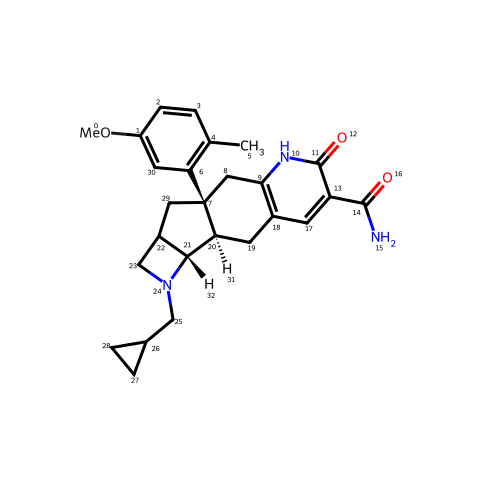 COc1ccc(C)c([C@@]23Cc4[nH]c(=O)c(C(N)=O)cc4C[C@H]2[C@H]2C(CN2CC2CC2)C3)c1